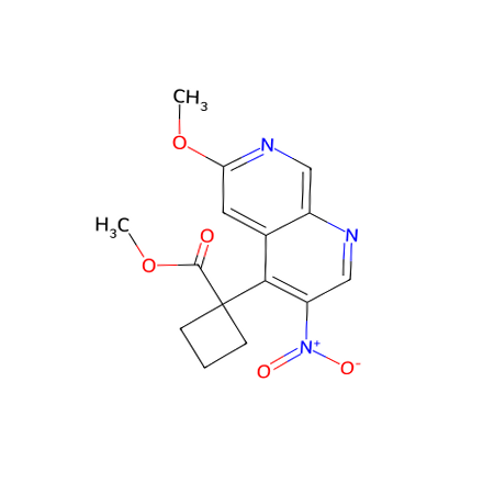 COC(=O)C1(c2c([N+](=O)[O-])cnc3cnc(OC)cc23)CCC1